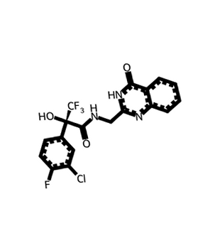 O=C(NCc1nc2ccccc2c(=O)[nH]1)[C@@](O)(c1ccc(F)c(Cl)c1)C(F)(F)F